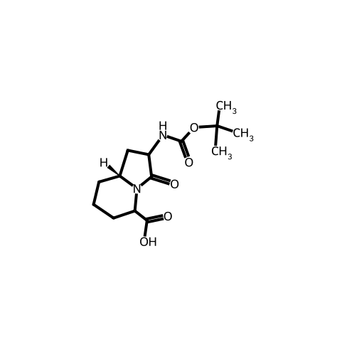 CC(C)(C)OC(=O)NC1C[C@H]2CCCC(C(=O)O)N2C1=O